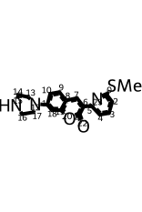 CSc1cccc(-c2cc3ccc(N4CCNCC4)cc3oc2=O)n1